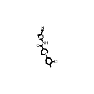 Cc1ccc(N2CCC(C(=O)Nc3ncc(C#N)s3)CC2)cc1Cl